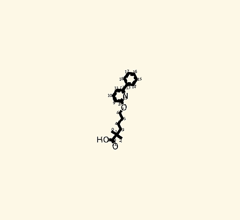 CC(C)(CCCCOc1cccc(-c2ccccc2)n1)C(=O)O